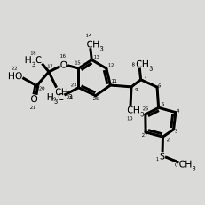 CSc1ccc(CC(C)C(C)c2cc(C)c(OC(C)(C)C(=O)O)c(C)c2)cc1